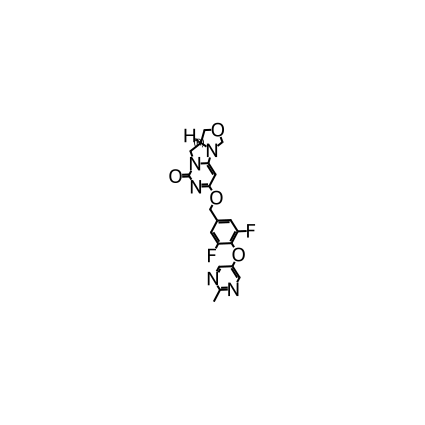 Cc1ncc(Oc2c(F)cc(COc3cc4n(c(=O)n3)C[C@@H]3COCN43)cc2F)cn1